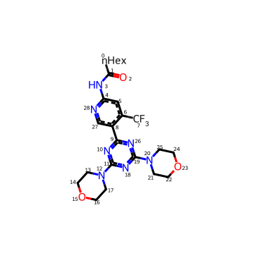 CCCCCCC(=O)Nc1cc(C(F)(F)F)c(-c2nc(N3CCOCC3)nc(N3CCOCC3)n2)cn1